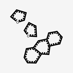 c1ccc2cc3ccccc3cc2c1.c1ccoc1.c1ccoc1